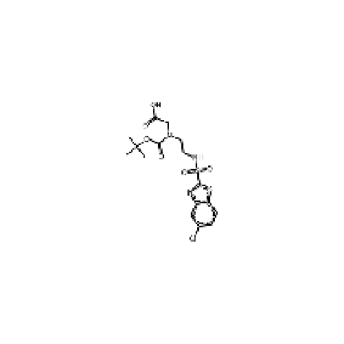 CC(C)(C)OC(=O)N(CCNS(=O)(=O)c1nc2cc(Cl)ccc2s1)CC(=O)O